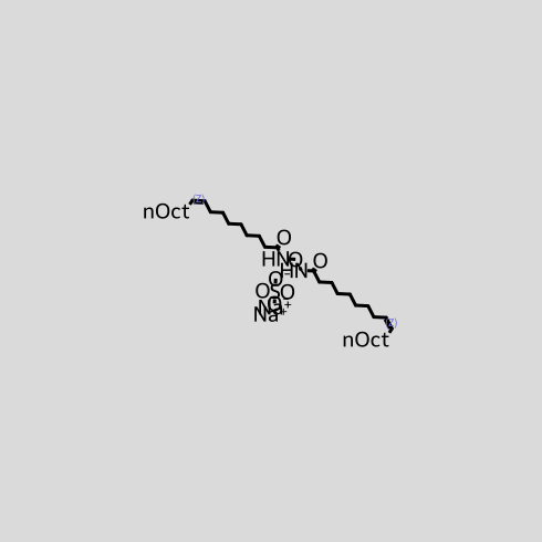 CCCCCCCC/C=C\CCCCCCCC(=O)NONC(=O)CCCCCCC/C=C\CCCCCCCC.O=S(=O)([O-])[O-].[Na+].[Na+]